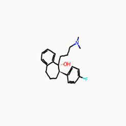 CN(C)CCC[C@]1(O)c2ccccc2CCC[C@@H]1c1ccc(F)cc1